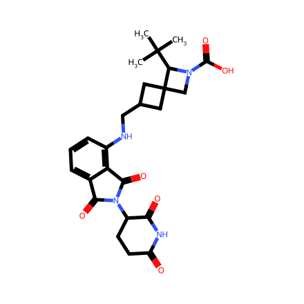 CC(C)(C)C1N(C(=O)O)CC12CC(CNc1cccc3c1C(=O)N(C1CCC(=O)NC1=O)C3=O)C2